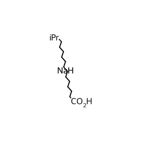 CC(C)CCCCCCCCCCCCC(=O)O.[NaH]